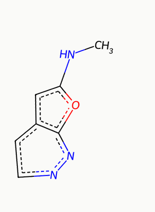 CNc1cc2ccnnc2o1